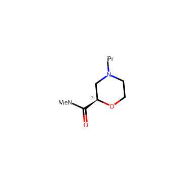 CNC(=O)[C@H]1CN(C(C)C)CCO1